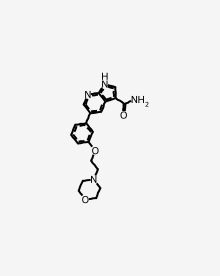 NC(=O)c1c[nH]c2ncc(-c3cccc(OCCN4CCOCC4)c3)cc12